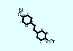 CCCC1CCC(CCC2CCC(OCC)CC2)CC1